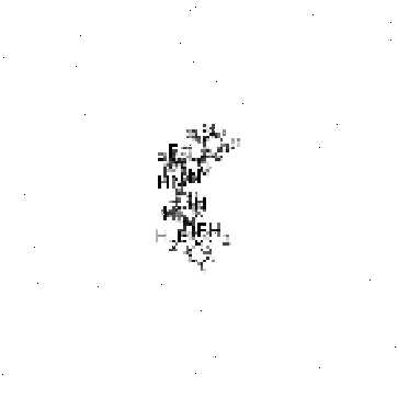 BC(B)(C1CCCCO1)N1C[C@H]2C[C@H](Nc3nnc(-c4cc(C)ccc4C)cc3C(F)(F)F)C[C@H]2C1